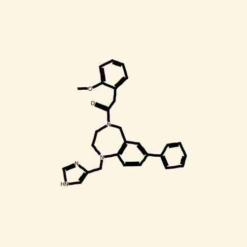 COc1ccccc1CC(=O)N1CCN(Cc2c[nH]cn2)c2ccc(-c3ccccc3)cc2C1